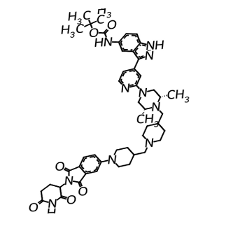 C[C@@H]1CN(c2cc(-c3n[nH]c4ccc(NC(=O)OC(C)(C)C)cc34)ccn2)C[C@H](C)N1CC1CCN(CC2CCN(c3ccc4c(c3)C(=O)N(C3CCC(=O)NC3=O)C4=O)CC2)CC1